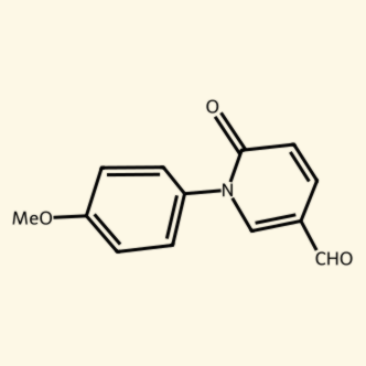 COc1ccc(-n2cc(C=O)ccc2=O)cc1